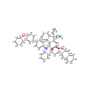 CC1(C)c2ccccc2-c2c(N(c3ccc(-c4ccc5oc6ccccc6c5c4)cc3)c3ccccc3-c3ccc4oc5cc6ccccc6cc5c4c3)cccc21